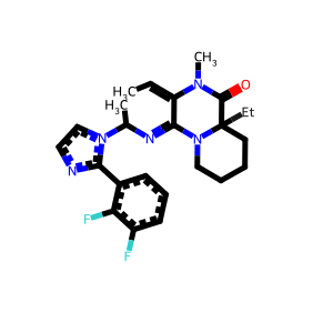 C/C=C1\C(=N/C(C)n2ccnc2-c2cccc(F)c2F)N2CCCCC2(CC)C(=O)N1C